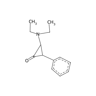 CCN(CC)C1C(=O)C1c1ccccc1